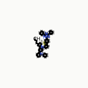 CCCCc1ccc2c(c1)c1cc3c4ccccc4n(-c4ccccc4)c3cc1n2-c1cccc2c1sc1cc(-c3nc(-c4ccccc4)nc(-c4ccccc4)n3)ccc12